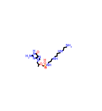 CC(Cn1cnc2c(=O)[nH]c(N)nc21)OCP(=O)(O)NCCCNCCCCNCCCN